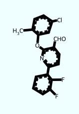 Cc1ccc(Cl)cc1Oc1nc(-c2cccc(F)c2F)ccc1C=O